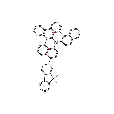 CC1(C)C2=CC(c3ccc(N(c4ccc5ccccc5c4-c4ccccc4)c4ccc5ccccc5c4-c4ccccc4)cc3)CC=C2c2ccccc21